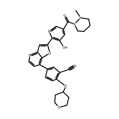 CN1CCCCN1C(=O)c1cnc(-c2cc3nccc(-c4ccc(OC5CCOCC5)c(C#N)c4)c3o2)c(O)c1